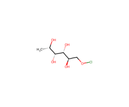 C[C@H](O)[C@@H](O)[C@H](O)[C@H](O)COCl